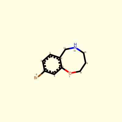 Brc1ccc2c(c1)OCCCNC2